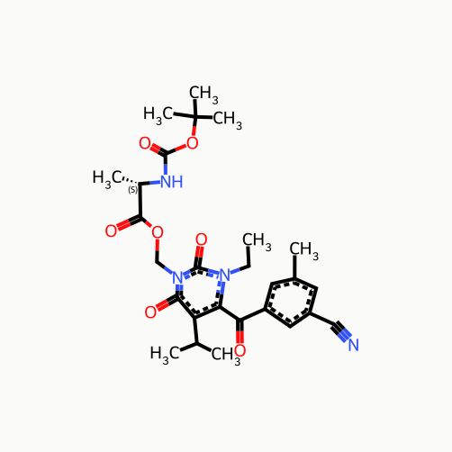 CCn1c(C(=O)c2cc(C)cc(C#N)c2)c(C(C)C)c(=O)n(COC(=O)[C@H](C)NC(=O)OC(C)(C)C)c1=O